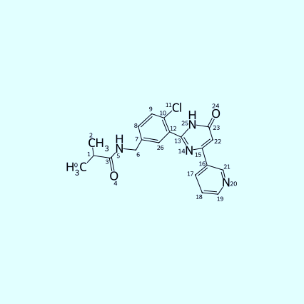 CC(C)C(=O)NCc1ccc(Cl)c(-c2nc(-c3cccnc3)cc(=O)[nH]2)c1